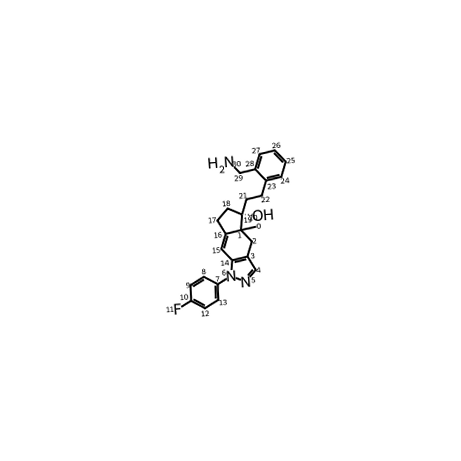 CC12Cc3cnn(-c4ccc(F)cc4)c3C=C1CC[C@@]2(O)CCc1ccccc1CN